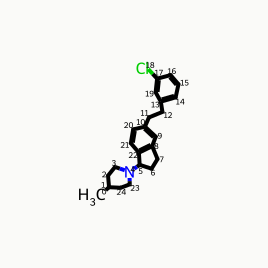 CC1CCN(C2CCc3cc(CCc4cccc(Cl)c4)ccc32)CC1